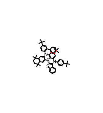 CC(C)(C)c1ccc(N2c3cc(C(C)(C)C)cc4c3B(c3cc5c(cc3N4c3ccc(C(C)(C)C)cc3-c3ccccc3)C(C)(C)CCC5(C)C)c3sc4ccccc4c32)cc1